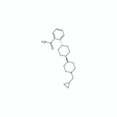 NC(=O)c1ccccc1[C@H]1CC[C@H](N2CCN(CC3CC3)CC2)CC1